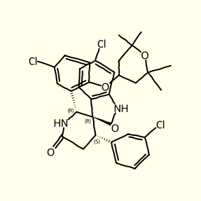 CC1(C)CC(Oc2ccc(Cl)cc2[C@H]2NC(=O)C[C@@H](c3cccc(Cl)c3)[C@]23C(=O)Nc2cc(Cl)ccc23)CC(C)(C)O1